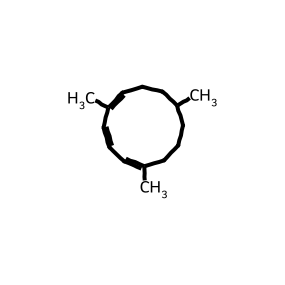 CC1=CCCC(C)CCCC(C)=CC=C1